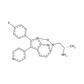 C[C@H](N)CN1On2c(-c3ccc(F)cc3)c(-c3ccncc3)c3ccc1nc32